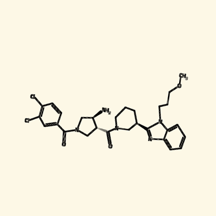 COCCCn1c([C@@H]2CCCN(C(=O)[C@@H]3CN(C(=O)c4ccc(Cl)c(Cl)c4)C[C@H]3N)C2)nc2ccccc21